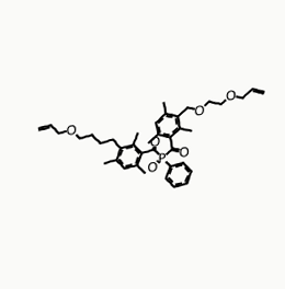 C=CCOCCCCc1c(C)cc(C)c(C(=O)P(=O)(C(=O)c2c(C)cc(C)c(COCCOCC=C)c2C)c2ccccc2)c1C